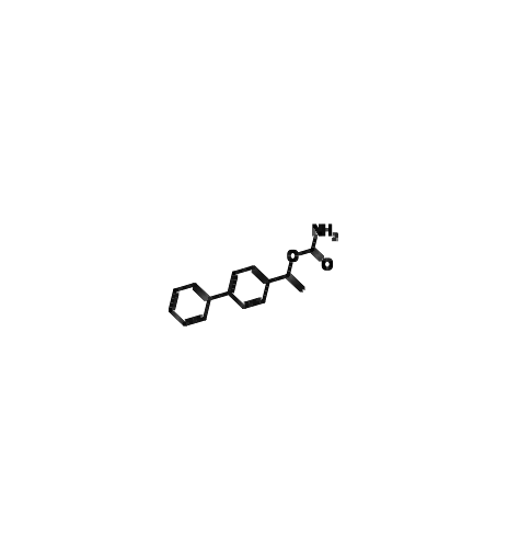 C=C(OC(N)=O)c1ccc(-c2ccccc2)cc1